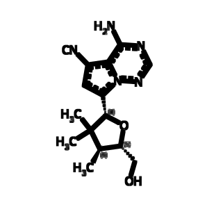 [C-]#[N+]c1cc([C@@H]2O[C@H](CO)[C@@H](C)C2(C)C)n2ncnc(N)c12